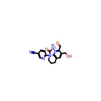 N#Cc1ccc([N+]2(C(N)=O)CCCc3cc(CO)c(C=O)nc32)nc1